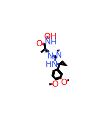 C=N/C(=N\C=C(/C)C(=O)NO)NC1(c2ccc(OC)c(OC)c2)CC1